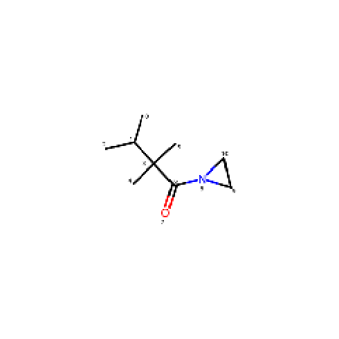 CC(C)C(C)(C)C(=O)N1CC1